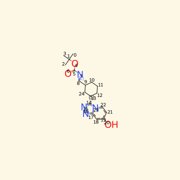 CC(C)(C)OC(=O)/N=C/C1CCC[C@H](c2nnc3cc(O)ccn23)C1